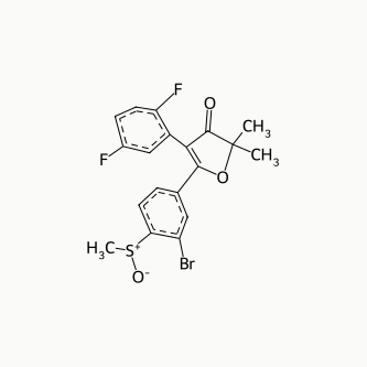 C[S+]([O-])c1ccc(C2=C(c3cc(F)ccc3F)C(=O)C(C)(C)O2)cc1Br